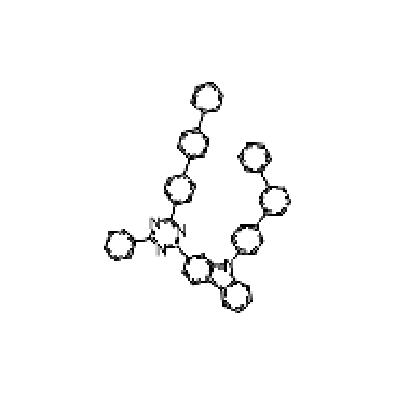 c1ccc(-c2ccc(-c3ccc(-c4nc(-c5ccccc5)nc(-c5ccc6c7ccccc7n(-c7ccc(-c8cccc(-c9ccccc9)c8)cc7)c6c5)n4)cc3)cc2)cc1